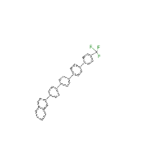 FC(F)(F)c1ccc(-c2ccc(-c3ccc(-c4ccc(-c5ccc6ccccc6c5)cc4)cc3)cc2)cc1